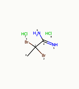 CC(Br)(Br)C(=N)N.Cl.Cl